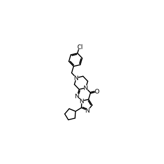 O=c1c2cnc(C3CCCC3)n2nc2n1CCN(Cc1ccc(Cl)cc1)C2